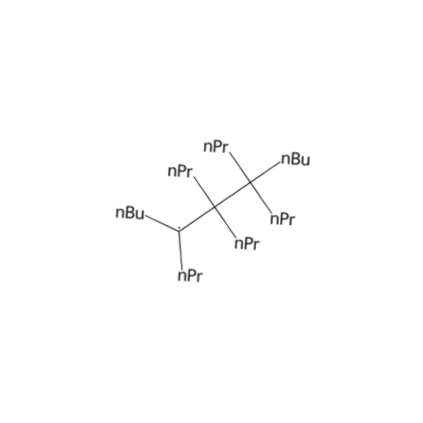 CCCC[C](CCC)C(CCC)(CCC)C(CCC)(CCC)CCCC